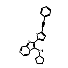 C(#Cc1ccc(-c2nc3cnccn3c2NC2CCCC2)s1)c1ccccc1